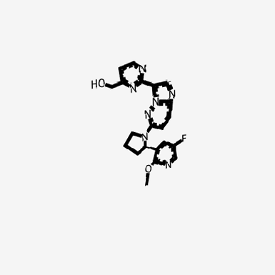 COc1ncc(F)cc1[C@H]1CCCN1c1ccc2ncc(-c3nccc(CO)n3)n2n1